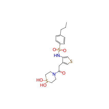 CCCc1ccc(S(=O)(=O)Nc2cscc2CC(=O)N2CCS(O)(O)CC2)cc1